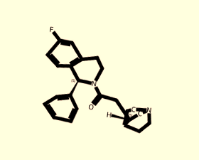 O=C(C[C@@H]1CN2CCC1CC2)N1CCc2cc(F)ccc2[C@@H]1c1ccccc1